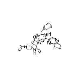 CC(=O)N1CCC2(CC1)CC(CC(NC(=O)[C@H](Cc1ccccc1)NC(=O)c1cnc3ccccc3n1)C(=O)O)C(=O)N2